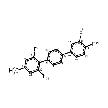 Cc1cc(F)c(-c2ccc(-c3ccc(F)c(F)c3)cc2)c(F)c1